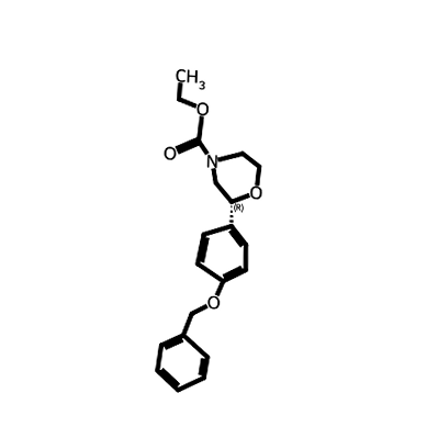 CCOC(=O)N1CCO[C@H](c2ccc(OCc3ccccc3)cc2)C1